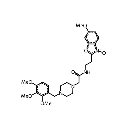 COc1ccc2c(c1)oc(CCNC(=O)CN1CCN(Cc3ccc(OC)c(OC)c3OC)CC1)[n+]2[O-]